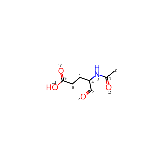 CC(=O)NC(C=O)CCC(=O)O